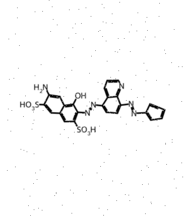 Nc1cc2c(O)c(/N=N/c3ccc(/N=N/c4ccccc4)c4ncccc34)c(S(=O)(=O)O)cc2cc1S(=O)(=O)O